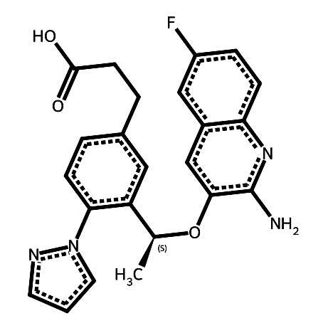 C[C@H](Oc1cc2cc(F)ccc2nc1N)c1cc(CCC(=O)O)ccc1-n1cccn1